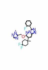 Cn1ncnc1COc1nn2c(-c3ccccc3F)nnc2cc1C1(C)CCC(F)(F)CC1